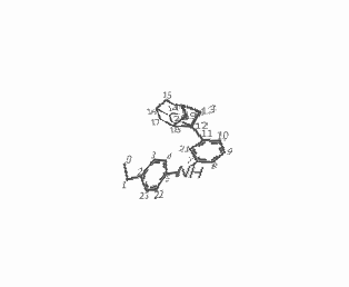 CCc1ccc(Nc2cccc(C34CC5CC(CC3C5)C4)c2)cc1